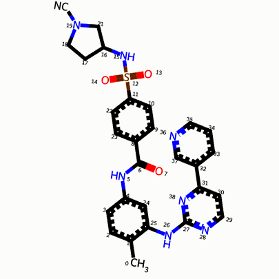 Cc1ccc(NC(=O)c2ccc(S(=O)(=O)NC3CCN(C#N)C3)cc2)cc1Nc1nccc(-c2cccnc2)n1